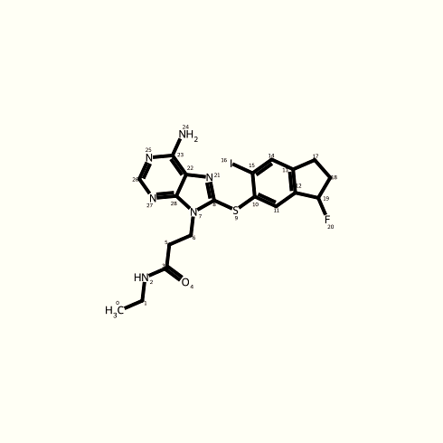 CCNC(=O)CCn1c(Sc2cc3c(cc2I)CCC3F)nc2c(N)ncnc21